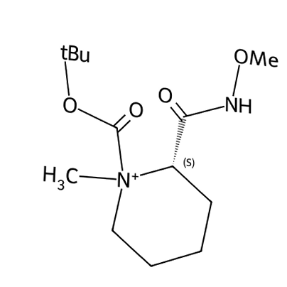 CONC(=O)[C@@H]1CCCC[N+]1(C)C(=O)OC(C)(C)C